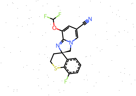 N#CC1=CN2C[C@@]3(CCSc4c(F)cccc43)N=C2C(OC(F)F)=C1